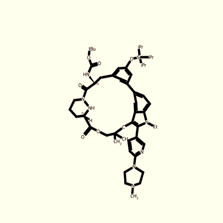 CCn1c(-c2ccc(N3CCN(C)CC3)nc2)c2c3cc(ccc31)-c1cc(cc(O[Si](C(C)C)(C(C)C)C(C)C)c1)C[C@H](NC(=O)OC(C)(C)C)C(=O)N1CCC[C@H](N1)C(=O)OCC(C)(C)C2